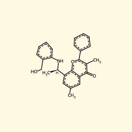 Cc1cc([C@@H](C)Nc2ccccc2CO)c2oc(-c3ccccc3)c(C)c(=O)c2c1